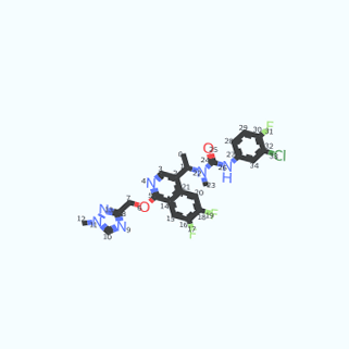 CC(c1cnc(OCc2ncn(C)n2)c2cc(F)c(F)cc12)N(C)C(=O)Nc1ccc(F)c(Cl)c1